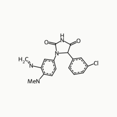 C=Nc1cc(N2C(=O)NC(=O)C2c2cccc(Cl)c2)ccc1NC